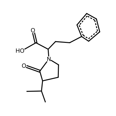 CC(C)C1CCN(C(CCc2ccccc2)C(=O)O)C1=O